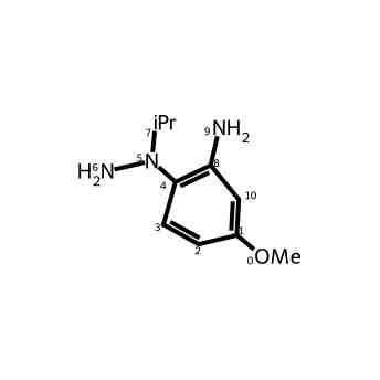 COc1ccc(N(N)C(C)C)c(N)c1